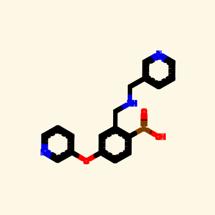 O=S(O)c1ccc(Oc2cccnc2)cc1CNCc1cccnc1